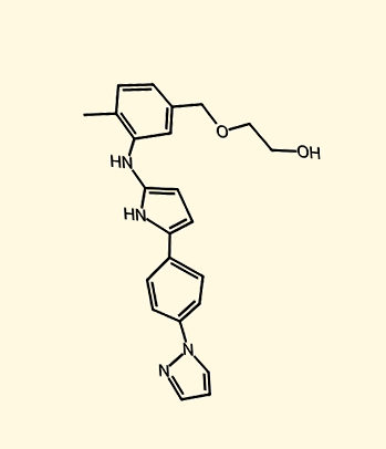 Cc1ccc(COCCO)cc1Nc1ccc(-c2ccc(-n3cccn3)cc2)[nH]1